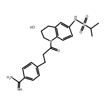 CC(C)S(=O)(=O)Nc1ccc2c(c1)CCCN2C(=O)CCc1ccc(C(=N)N)cc1.Cl